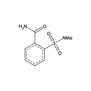 CNS(=O)(=O)c1ccccc1C(N)=O